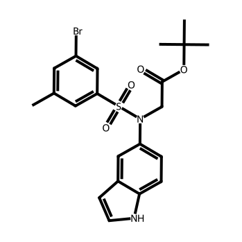 Cc1cc(Br)cc(S(=O)(=O)N(CC(=O)OC(C)(C)C)c2ccc3[nH]ccc3c2)c1